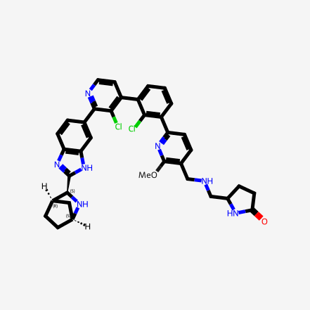 COc1nc(-c2cccc(-c3ccnc(-c4ccc5nc([C@H]6N[C@H]7CC[C@@H]6C7)[nH]c5c4)c3Cl)c2Cl)ccc1CNCC1CCC(=O)N1